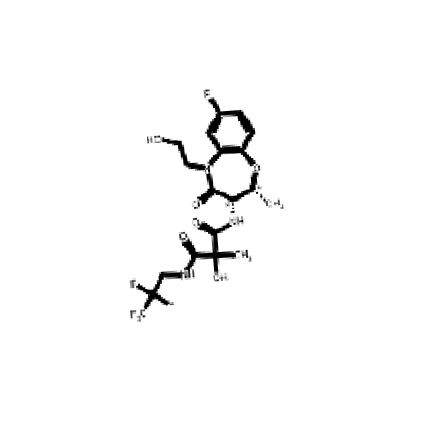 C[C@H]1Oc2ccc(F)cc2N(CCO)C(=O)[C@H]1NC(=O)C(C)(O)C(=O)NCC(F)(F)C(F)(F)F